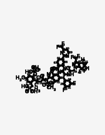 Cc1cc(CP(=O)(O)O)c(C(C)(C)CC(=O)N(c2nn(C)c3c(-n4c([C@H](Cc5cc(F)cc(F)c5)NC(=O)Cn5nc(C(F)F)c6c5C(F)(F)[C@@H]5C[C@H]65)nc5cc(-c6nccc(C(F)F)n6)ccc5c4=O)ccc(Cl)c23)S(C)(=O)=O)c(OP(=O)(O)O)c1